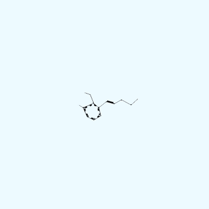 CCCC=Cc1cccc(O)c1CO